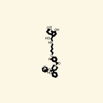 O=C(c1ccc(OCCCCCNC[C@H](O)c2ccc(O)c3[nH]c(=O)ccc23)c(F)c1)N1CCC(C(=O)O[C@H]2CN3CCC2CC3)(c2ccccc2)CC1